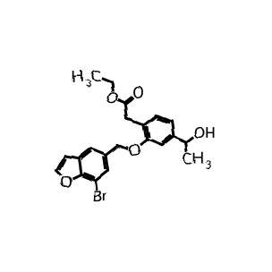 CCOC(=O)Cc1ccc(C(C)O)cc1OCc1cc(Br)c2occc2c1